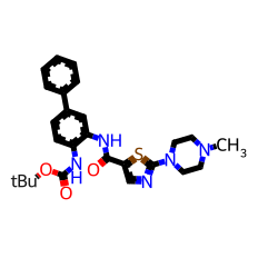 CN1CCN(c2ncc(C(=O)Nc3cc(-c4ccccc4)ccc3NC(=O)OC(C)(C)C)s2)CC1